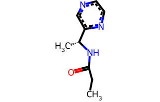 CCC(=O)N[C@H](C)c1cnccn1